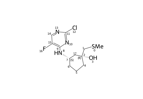 CSC[C@@]1(O)CCC[C@H](Nc2nc(Cl)ncc2F)C1